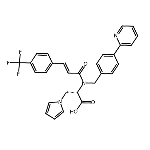 O=C(O)[C@H](Cn1cccc1)N(Cc1ccc(-c2ccccn2)cc1)C(=O)C=Cc1ccc(C(F)(F)F)cc1